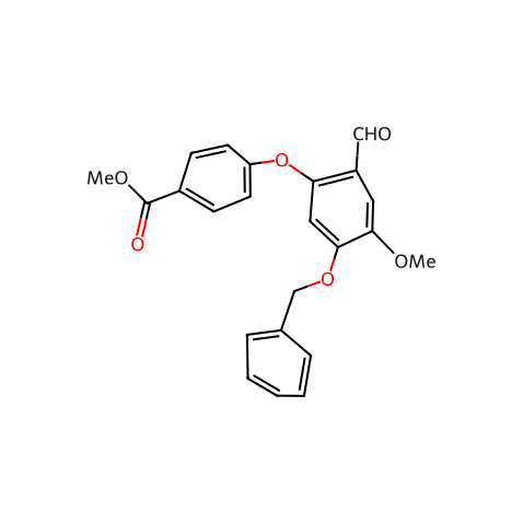 COC(=O)c1ccc(Oc2cc(OCc3ccccc3)c(OC)cc2C=O)cc1